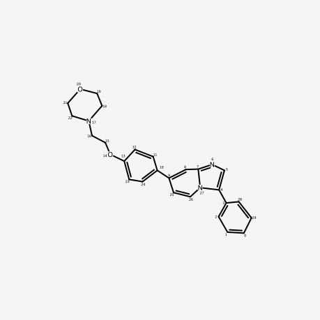 c1ccc(-c2cnc3cc(-c4ccc(OCCN5CCOCC5)cc4)ccn23)cc1